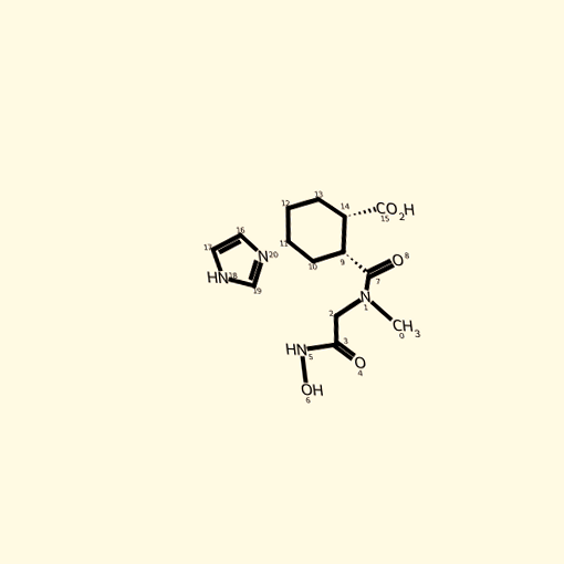 CN(CC(=O)NO)C(=O)[C@@H]1CCCC[C@@H]1C(=O)O.c1c[nH]cn1